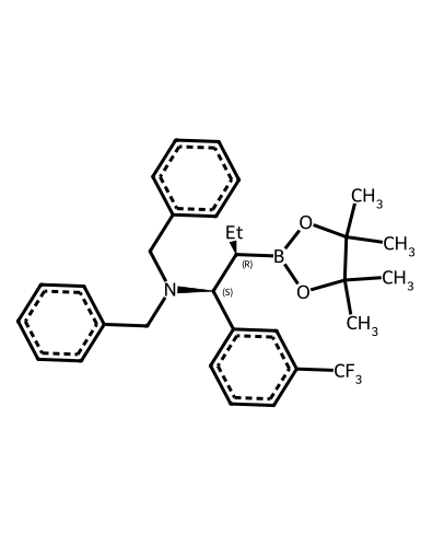 CC[C@@H](B1OC(C)(C)C(C)(C)O1)[C@@H](c1cccc(C(F)(F)F)c1)N(Cc1ccccc1)Cc1ccccc1